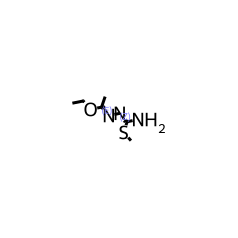 CCO/C(C)=N/N=C(/N)SC